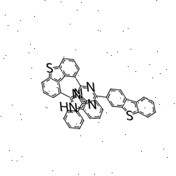 c1ccc(-c2nc(-c3ccc4c(c3)sc3ccccc34)nc(-c3cccc4sc5cccc(-c6nc7ccccc7[nH]6)c5c34)n2)cc1